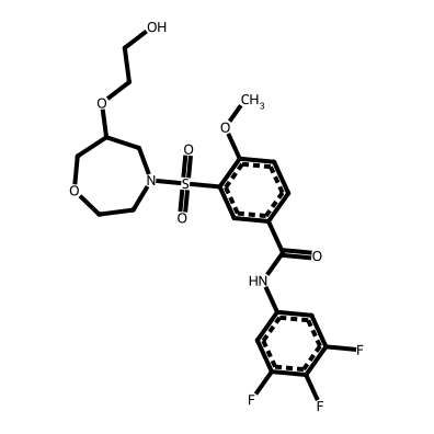 COc1ccc(C(=O)Nc2cc(F)c(F)c(F)c2)cc1S(=O)(=O)N1CCOCC(OCCO)C1